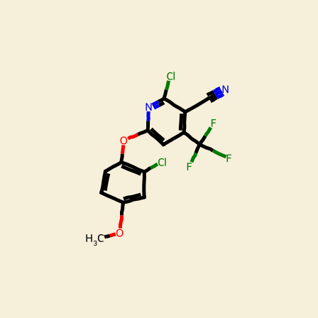 COc1ccc(Oc2cc(C(F)(F)F)c(C#N)c(Cl)n2)c(Cl)c1